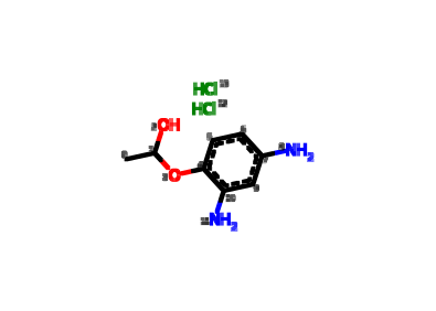 CC(O)Oc1ccc(N)cc1N.Cl.Cl